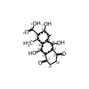 Cc1c(C(=O)O)c(O)cc2c(O)c3c(c(O)c12)C(=O)CCC3=O